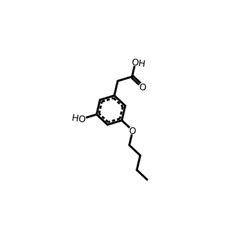 CCCCOc1cc(O)cc(CC(=O)O)c1